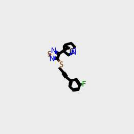 Fc1cccc(C#CCSc2nsnc2C2CN3CCC2CC3)c1